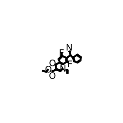 C=Cn1cc(C(=O)OCC)c(=O)c2cc(F)c(C(C#N)c3ccccc3)c(F)c21